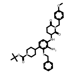 COc1ccc(CN2C(=O)CCC(Nc3ccc(C4CCN(C(=O)OC(C)(C)C)CC4)c(SCc4ccccc4)c3N)C2=O)cc1